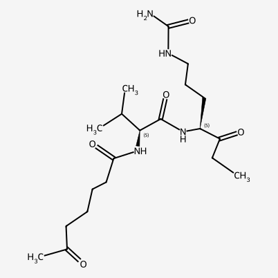 CCC(=O)[C@H](CCCNC(N)=O)NC(=O)[C@@H](NC(=O)CCCCC(C)=O)C(C)C